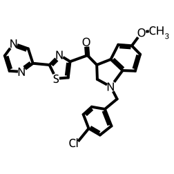 COc1ccc2c(c1)C(C(=O)c1csc(-c3cnccn3)n1)CN2Cc1ccc(Cl)cc1